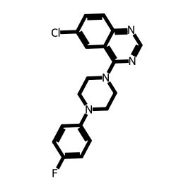 Fc1ccc(N2CCN(c3ncnc4ccc(Cl)cc34)CC2)cc1